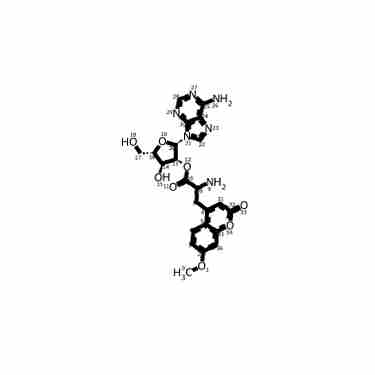 COc1ccc2c(CC(N)C(=O)O[C@@H]3[C@@H](O)[C@H](CO)O[C@@H]3n3cnc4c(N)ncnc43)cc(=O)oc2c1